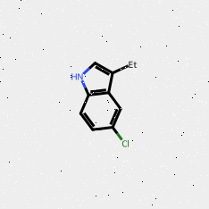 CCc1c[nH]c2ccc(Cl)cc12